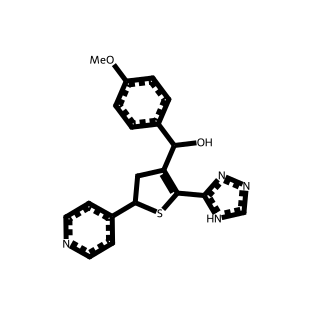 COc1ccc(C(O)C2=C(c3nnc[nH]3)SC(c3ccncc3)C2)cc1